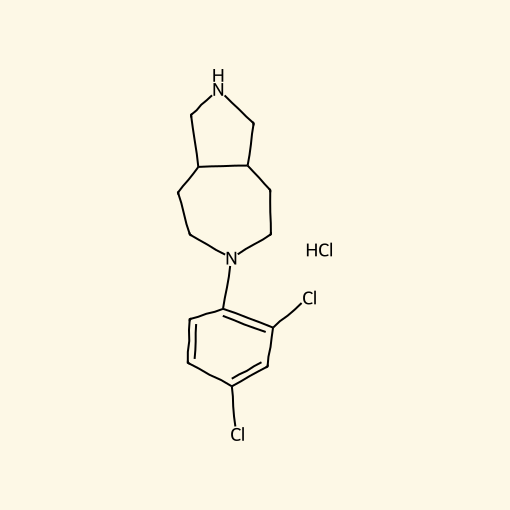 Cl.Clc1ccc(N2CCC3CNCC3CC2)c(Cl)c1